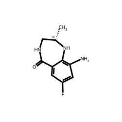 C[C@H]1CNC(=O)c2cc(F)cc(N)c2N1